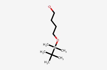 CC(C)(C)[Si](C)(C)OCCCC[O]